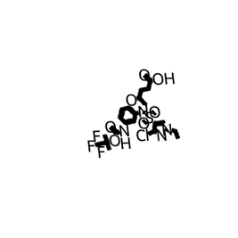 CCn1cc(S(=O)(=O)N2CC(CCC(=O)O)Oc3ccc(NC(=O)OC(C)(C)C(F)(F)F)cc32)c(Cl)n1